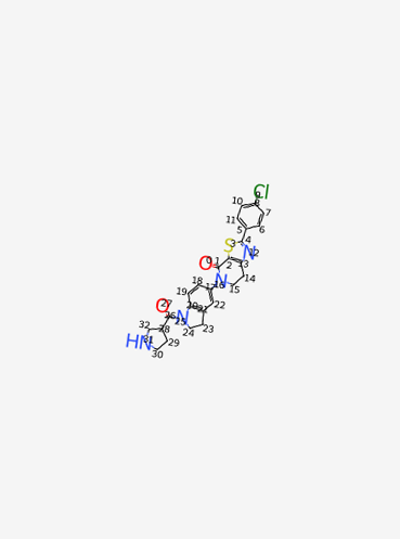 O=C1c2sc(-c3ccc(Cl)cc3)nc2CCN1c1ccc2c(c1)CCN2C(=O)C1CCNC1